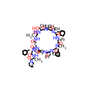 CC(C)C[C@H]1C(=O)NCC(=O)N[C@H](C(=O)N(C)[C@@H](Cc2ccccc2)C(=O)N[C@@H](C)C(=O)N2CCCCC2)CC(=O)N[C@H](C)C(=O)N[C@@H]([C@@H](C)O)C(=O)N(C)[C@@H](C)C(=O)N(C)[C@@H](Cc2ccccc2)C(=O)N[C@@H](C(C)C)C(=O)N(C)[C@@H](Cc2ccccc2)C(=O)N1C